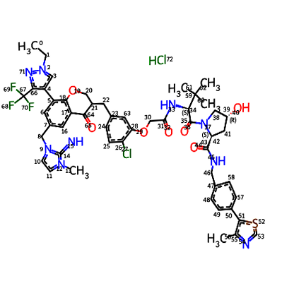 CCn1cc(-c2cc(Cn3ccn(C)c3=N)cc3c2OCC(Cc2ccc(Cl)c(OCC(=O)N[C@H](C(=O)N4C[C@H](O)C[C@H]4C(=O)NCc4ccc(-c5scnc5C)cc4)C(C)(C)C)c2)C3=O)c(C(F)(F)F)n1.Cl